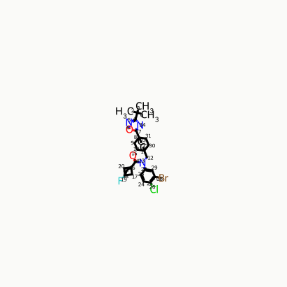 CC(C)(C)c1noc(C23CCC(CN(C(=O)C45CC(F)(C4)C5)c4ccc(Cl)c(Br)c4)(CC2)CC3)n1